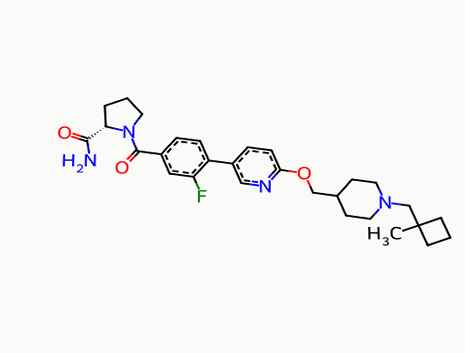 CC1(CN2CCC(COc3ccc(-c4ccc(C(=O)N5CCC[C@H]5C(N)=O)cc4F)cn3)CC2)CCC1